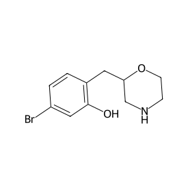 Oc1cc(Br)ccc1CC1CNCCO1